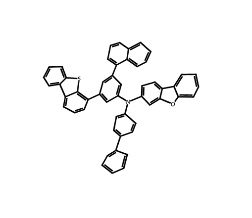 c1ccc(-c2ccc(N(c3cc(-c4cccc5ccccc45)cc(-c4cccc5c4sc4ccccc45)c3)c3ccc4c(c3)oc3ccccc34)cc2)cc1